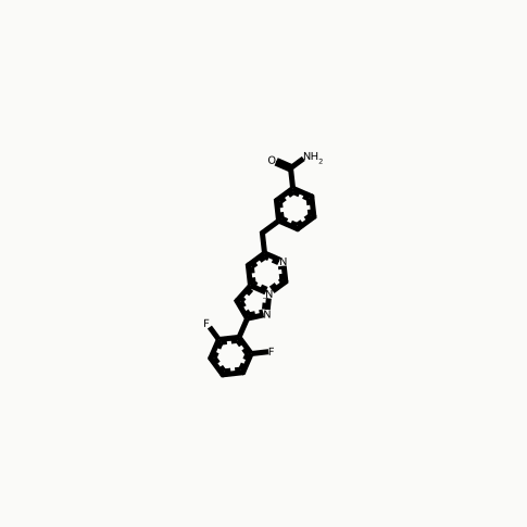 NC(=O)c1cccc(Cc2cc3cc(-c4c(F)cccc4F)nn3cn2)c1